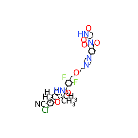 CC1(C)[C@H](NC(=O)c2cc(F)c(CCOCCCN3CCN(c4ccc5c(c4)C(=O)N(C4CCC(=O)NC4=O)C5=O)CC3)c(F)c2)C(C)(C)[C@H]1Oc1ccc(C#N)c(Cl)c1